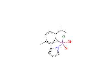 Cc1ccc(C(C)C)c(P(O)(O)(Cl)n2cccc2)c1